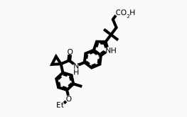 CCOc1ccc(C2(C(=O)Nc3ccc4[nH]c(C(C)(C)CCC(=O)O)cc4c3)CC2)cc1C